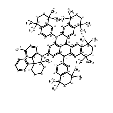 CC(C)(C)c1ccc2c(c1)C1(c3ccccc3)CCCCC1(C)N2c1cc2c3c(c1)N(c1ccc4c(c1)C(C)(C)CCC4(C)C)c1cc4c(cc1B3c1cc3c(cc1N2c1ccc2c(c1)C(C)(C)CCC2(C)C)C(C)(C)CCC3(C)C)C(C)(C)CCC4(C)C